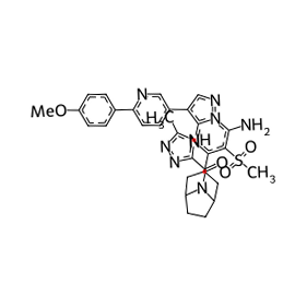 COc1ccc(-c2ccc(-c3cnn4c(N)c(S(C)(=O)=O)c(C5CC6CCC(C5)N6C(=O)c5nnc(C)[nH]5)nc34)cn2)cc1